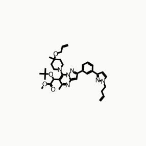 C=CCCn1ccc(-c2cccc(-c3cc4nc(C)c(C(OC(C)(C)C)C(=O)OC)c(N5CCC(C)(OCC=C)CC5)n4n3)c2)n1